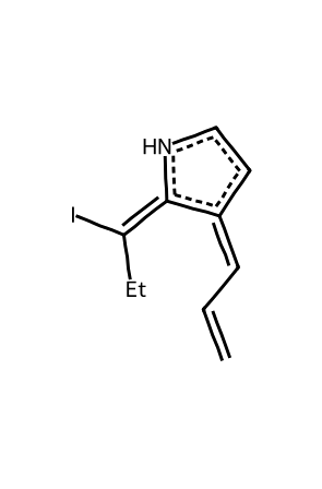 C=C/C=c1/cc[nH]/c1=C(\I)CC